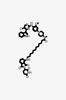 COc1cc(N2CCC(N(C)C(=O)CCCCCCCCCCCNc3cccc4c3C(=O)N(C3CCC(=O)NC3=O)C4=O)CC2)ccc1Nc1ncc(Cl)c(-c2c[nH]c3ccccc23)n1